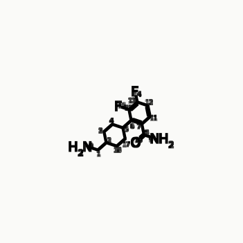 NCC1CCC(c2c(C(N)=O)ccc(F)c2F)CC1